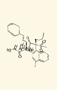 CCC[C@](C(=O)NN)(c1c([C@H](C/C=C/c2ccccc2)C(=O)NO)cc(C)c2ccccc12)S(C)(=O)=O